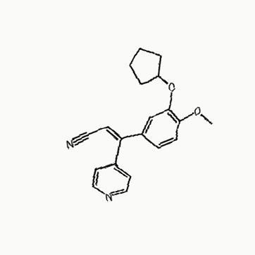 COc1ccc(C(=CC#N)c2ccncc2)cc1OC1CCCC1